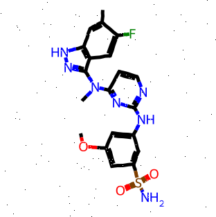 COc1cc(Nc2nccc(N(C)c3n[nH]c4cc(C)c(F)cc34)n2)cc(S(N)(=O)=O)c1